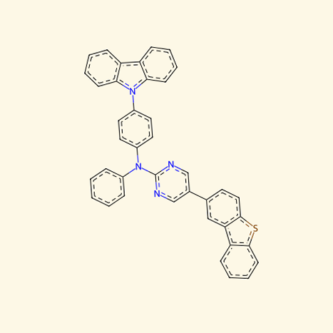 c1ccc(N(c2ccc(-n3c4ccccc4c4ccccc43)cc2)c2ncc(-c3ccc4sc5ccccc5c4c3)cn2)cc1